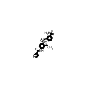 CCc1cc(NC(=O)c2ccns2)ccc1S(=O)(=O)Nc1cccc(C(F)(F)P)c1